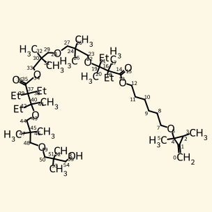 C=C1C(C)C1(C)OCCCCCCOC(=O)C(C)(CC)C(C)(CC)OCC(C)(C)COCC(C)(C)COC(=O)C(CC)(CC)C(C)(CC)OCC(C)(C)COCC(C)(C)CO